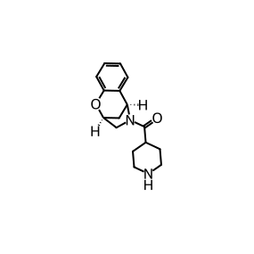 O=C(C1CCNCC1)N1C[C@@H]2C[C@H]1c1ccccc1O2